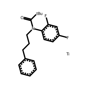 CC(C)(C)C(=O)N(CCCc1ccccc1)c1ccc(F)[c]c1F.[Ti]